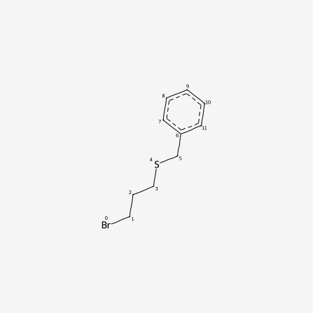 BrCCCSCc1ccccc1